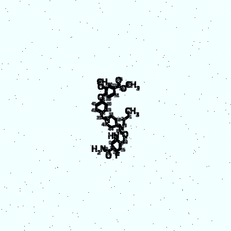 CCCCN(C(=O)Nc1cc(C(N)=O)c(F)cc1F)C1CCN(Cc2ccc(Oc3ccc(C(=O)OC)cc3OC)cc2)CC1